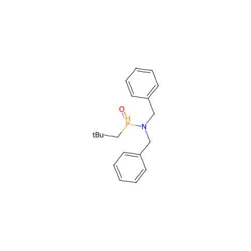 CC(C)(C)C[PH](=O)N(Cc1ccccc1)Cc1ccccc1